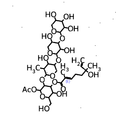 C=CC(C)(O)CC/C=C(\C)C(=O)OC1C(O)C(CO)OC(OC(C)=O)C1OC1OCC(OC2OCC(O)C(OC3OCC(O)C(O)C3O)C2O)C(O)C1C